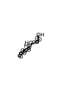 O=S(=O)(CCO)c1cccc(OCC(O)CN[C@H]2COC3(CCN(S(=O)(=O)c4ccc5c(c4)OCCC5)CC3)C2)c1